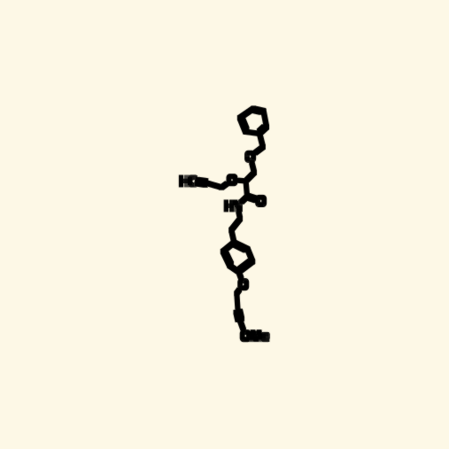 C#CCOC(COCc1ccccc1)C(=O)NCCc1ccc(OCC#COC)cc1